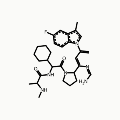 C=C(/C=C(\N=C/N)C1CCCN1C(=O)C(NC(=O)C(C)NC)C1CCCCC1)n1cc(C)c2cc(F)ccc21